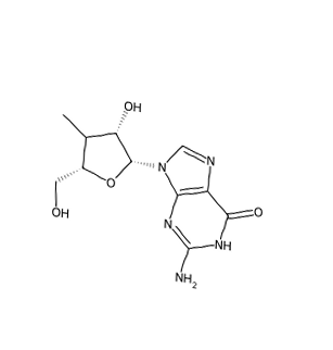 CC1[C@@H](CO)O[C@@H](n2cnc3c(=O)[nH]c(N)nc32)[C@H]1O